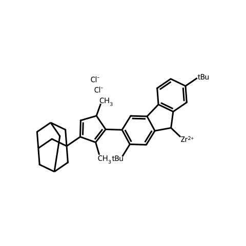 CC1=C(c2cc3c(cc2C(C)(C)C)[CH]([Zr+2])c2cc(C(C)(C)C)ccc2-3)C(C)C=C1C12CC3CC(CC(C3)C1)C2.[Cl-].[Cl-]